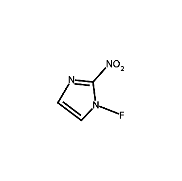 O=[N+]([O-])c1nccn1F